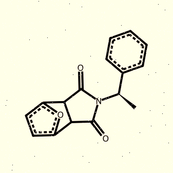 C[C@H](c1ccccc1)N1C(=O)C2c3ccc(o3)C2C1=O